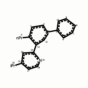 CCCc1ccc(-c2ccccc2)cc1-c1cc(C(C)C)ccn1